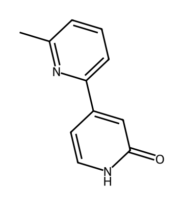 Cc1cccc(-c2cc[nH]c(=O)c2)n1